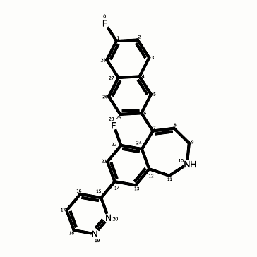 Fc1ccc2cc(C3=CCNCc4cc(-c5cccnn5)cc(F)c43)ccc2c1